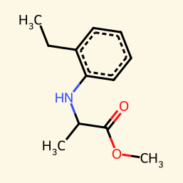 CCc1ccccc1NC(C)C(=O)OC